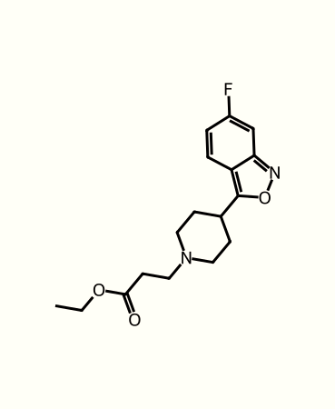 CCOC(=O)CCN1CCC(c2onc3cc(F)ccc23)CC1